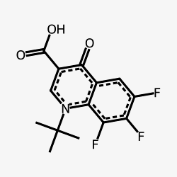 CC(C)(C)n1cc(C(=O)O)c(=O)c2cc(F)c(F)c(F)c21